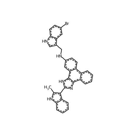 Cc1[nH]c2ccccc2c1-c1nc2c3ccccc3c3ccc(NCc4c[nH]c5ccc(Br)cc45)cc3c2[nH]1